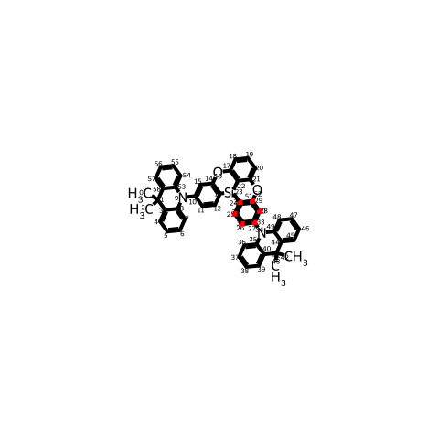 CC1(C)c2ccccc2N(c2ccc3c(c2)Oc2cccc4c2[Si]3(c2ccccc2)c2ccc(N3c5ccccc5C(C)(C)c5ccccc53)cc2O4)c2ccccc21